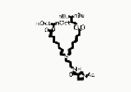 CCCCCCCCC(CCCCCCCC)OC(=O)CCCCCCCN(CCCCCCCC(=O)OCCC(CCCC)CCCC)CCCNC(=O)C1CCN(C(C)=O)C1